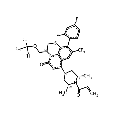 [2H]C([2H])([2H])OC[C@H]1CSc2c(-c3ccc(F)cc3F)c(C(F)(F)F)cc3c(N4C[C@@H](C)N(C(=O)C=C)[C@@H](C)C4)nc(=O)n1c23